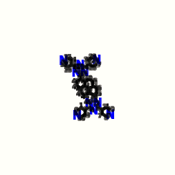 c1cc(-c2nc(-c3ccncc3)nc(-c3ccc4ccc5c(-c6nc(-c7ccncc7)nc(-c7ccncc7)n6)ccc6ccc3c4c65)n2)ccn1